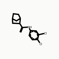 C=C(Nc1ccc(Cl)c(Cl)c1)C1CC2CCC1C2